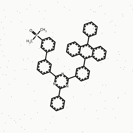 CP(C)(=O)c1cccc(-c2cccc(-c3nc(-c4ccccc4)nc(-c4cccc(-c5c6ccccc6c(-c6ccccc6)c6ccccc56)c4)n3)c2)c1